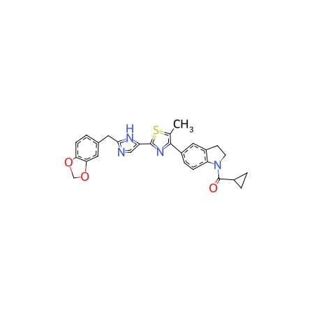 Cc1sc(-c2cnc(Cc3ccc4c(c3)OCO4)[nH]2)nc1-c1ccc2c(c1)CCN2C(=O)C1CC1